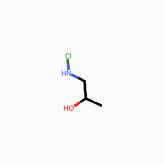 CC(O)CNCl